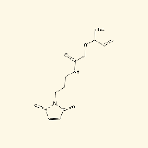 C=CC(CCCCCC)OCC(=O)NCCCN1C(=O)C=CC1=O